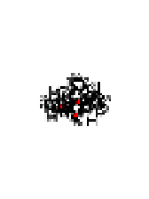 CS(=O)(=O)NC(=O)c1cc(F)c2nc(N3[C@@H]4CC[C@H]3C[C@@H](OC(=O)c3c(-c5c(Cl)cccc5Cl)noc3C3CC3)C4)sc2c1